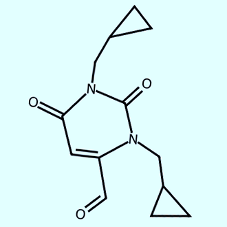 O=Cc1cc(=O)n(CC2CC2)c(=O)n1CC1CC1